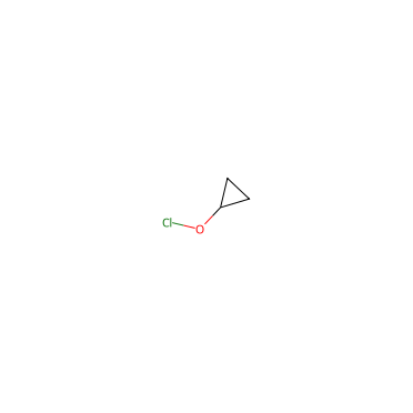 ClOC1CC1